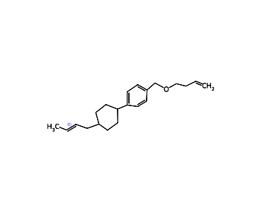 C=CCCOCc1ccc(C2CCC(C/C=C/C)CC2)cc1